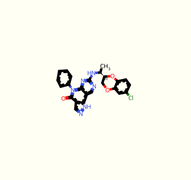 CC(Nc1ncc2c3[nH]ncc3c(=O)n(-c3ccccc3)c2n1)[C@H]1COc2cc(Cl)ccc2O1